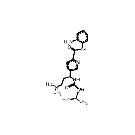 CC(C)NC(=O)NC(CCN(C)C)c1ccc(C(=O)Nc2ccccc2N)nc1